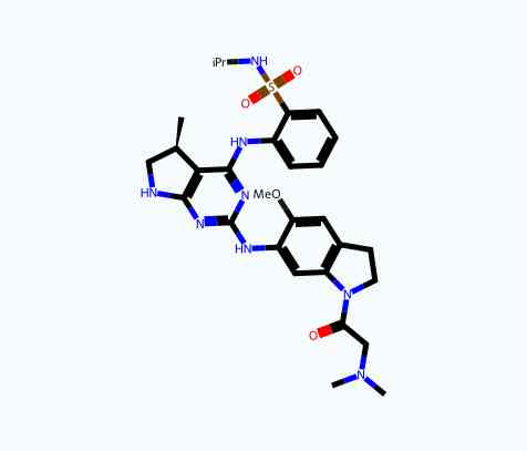 COc1cc2c(cc1Nc1nc3c(c(Nc4ccccc4S(=O)(=O)NC(C)C)n1)[C@H](C)CN3)N(C(=O)CN(C)C)CC2